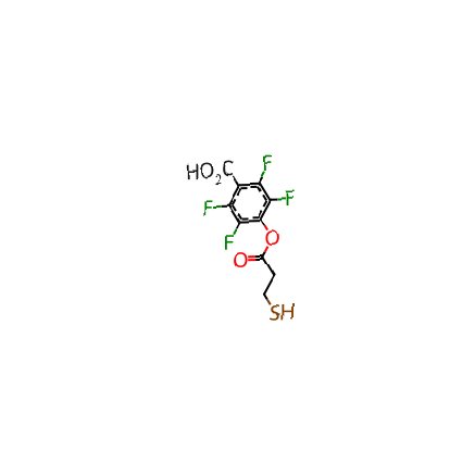 O=C(CCS)Oc1c(F)c(F)c(C(=O)O)c(F)c1F